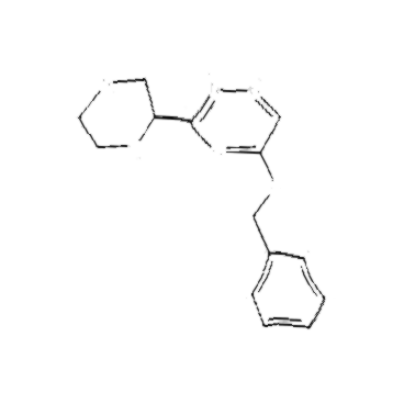 c1ccc(COc2cnnc(C3CNCCO3)n2)cc1